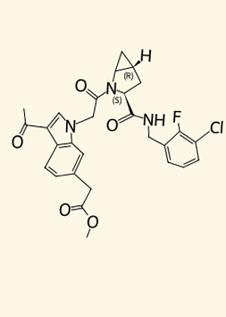 COC(=O)Cc1ccc2c(C(C)=O)cn(CC(=O)N3C4C[C@@H]4C[C@H]3C(=O)NCc3cccc(Cl)c3F)c2c1